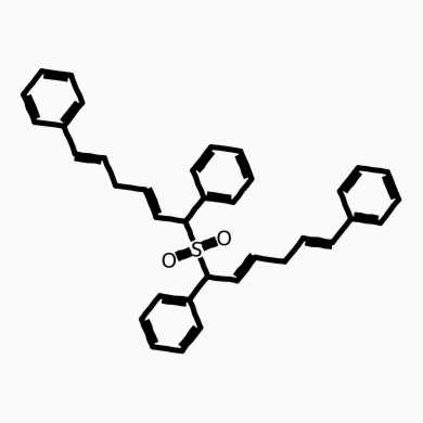 O=S(=O)(C(/C=C/C/C=C/c1ccccc1)c1ccccc1)C(/C=C/C/C=C/c1ccccc1)c1ccccc1